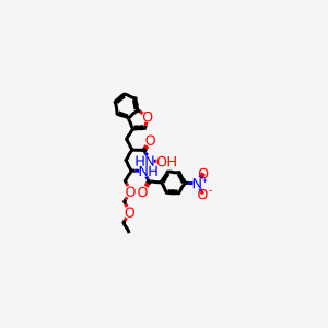 CCOCOCC(CC(Cc1coc2ccccc12)C(=O)NO)NC(=O)c1ccc([N+](=O)[O-])cc1